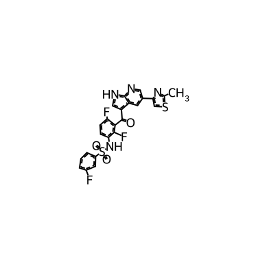 Cc1nc(-c2cnc3[nH]cc(C(=O)c4c(F)ccc(NS(=O)(=O)c5cccc(F)c5)c4F)c3c2)cs1